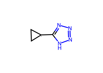 C1C[C]1c1nnn[nH]1